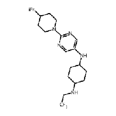 CC(C)C1CCN(c2ncc(NC3CCC(NCC(F)(F)F)CC3)cn2)CC1